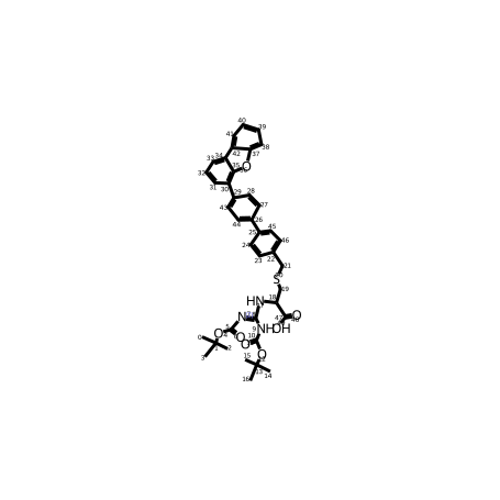 CC(C)(C)OC(=O)/N=C(\NC(=O)OC(C)(C)C)NC(CSCc1ccc(-c2ccc(-c3cccc4c3oc3ccccc34)cc2)cc1)C(=O)O